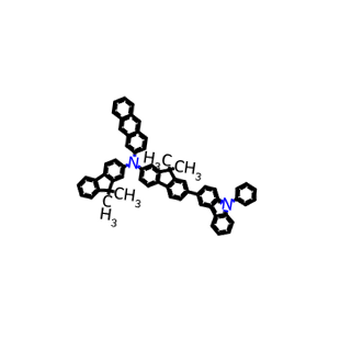 CC1(C)c2ccccc2-c2ccc(N(c3ccc4c(c3)C(C)(C)c3cc(-c5ccc6c(c5)c5ccccc5n6-c5ccccc5)ccc3-4)c3ccc4cc5ccccc5cc4c3)cc21